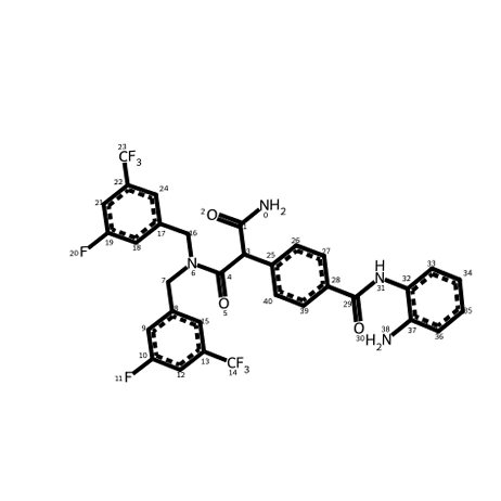 NC(=O)C(C(=O)N(Cc1cc(F)cc(C(F)(F)F)c1)Cc1cc(F)cc(C(F)(F)F)c1)c1ccc(C(=O)Nc2ccccc2N)cc1